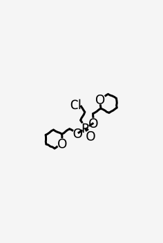 O=P(CCCl)(OCC1CCCCO1)OCC1CCCCO1